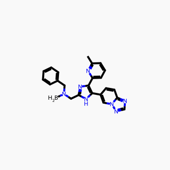 BN(Cc1ccccc1)Cc1nc(-c2cccc(C)n2)c(-c2ccc3ncnn3c2)[nH]1